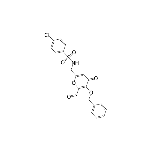 O=Cc1oc(CNS(=O)(=O)c2ccc(Cl)cc2)cc(=O)c1OCc1ccccc1